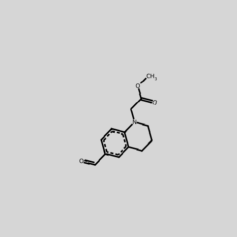 COC(=O)CN1CCCc2cc(C=O)ccc21